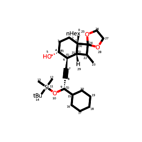 CCCCCC[C@]12CC[C@@H](O)[C@H](C#C[C@@H](O[Si](C)(C)C(C)(C)C)C3CCCCC3)[C@H]1C(C)C21OCCO1